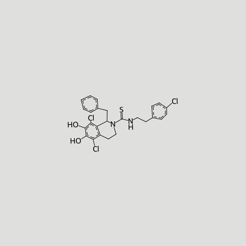 Oc1c(O)c(Cl)c2c(c1Cl)CCN(C(=S)NCCc1ccc(Cl)cc1)C2Cc1ccccc1